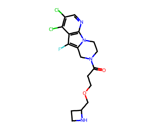 O=C(CCOCC1CCN1)N1CCn2c(c(F)c3c(Cl)c(Cl)cnc32)C1